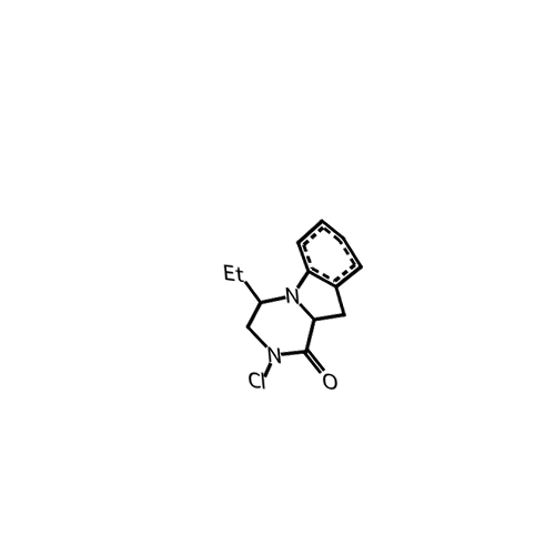 CCC1CN(Cl)C(=O)C2Cc3ccccc3N12